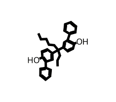 CCCCCC(CCC)(c1ccc(O)c(-c2ccccc2)c1)c1ccc(O)c(-c2ccccc2)c1